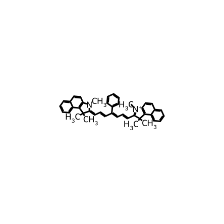 CN1C(=CC=CC(=CC=CC2=[N+](C)c3ccc4ccccc4c3C2(C)C)c2ccccc2)C(C)(C)c2c1ccc1ccccc21